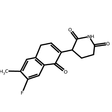 Cc1cc2c(cc1F)C(=O)C(C1CCC(=O)NC1=O)=CC2